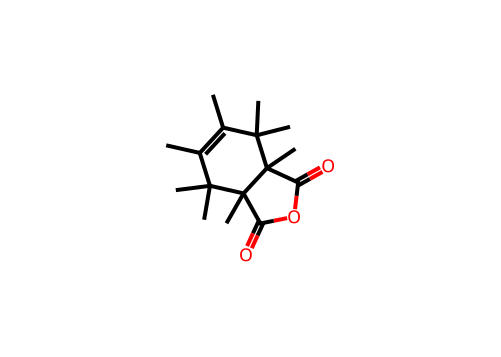 CC1=C(C)C(C)(C)C2(C)C(=O)OC(=O)C2(C)C1(C)C